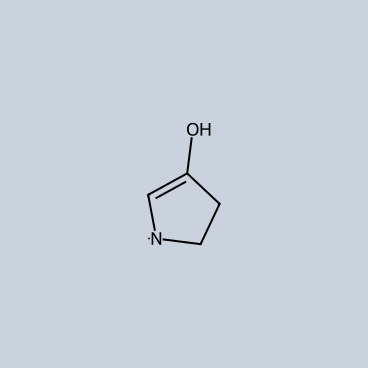 OC1=C[N]CC1